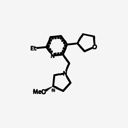 CCc1ccc(C2CCOC2)c(CN2CC[C@H](OC)C2)n1